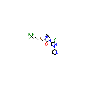 C#CCN(C(=O)C(=N)CSCCCC(F)(F)F)c1cn(-c2cccnc2)nc1Cl